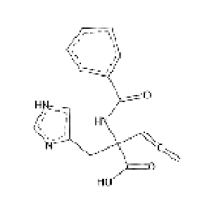 C=C=CC(Cc1c[nH]cn1)(NC(=O)c1ccccc1)C(=O)O